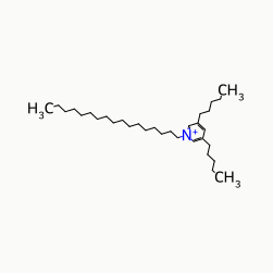 CCCCCCCCCCCCCCCCC[n+]1cc(CCCCC)cc(CCCCC)c1